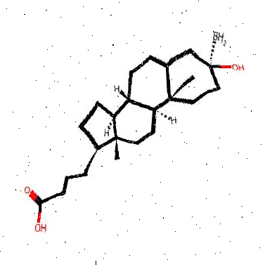 B[C@]1(O)CC[C@@]2(C)C(CC[C@H]3[C@@H]4CC[C@H](CCCC(=O)O)[C@@]4(C)CC[C@@H]32)C1